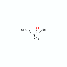 CCC(C)CC(O)C(C)/C=C/C=O